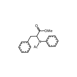 COC(=O)C(Cc1ccccc1)N(C(C)=O)c1ccccc1